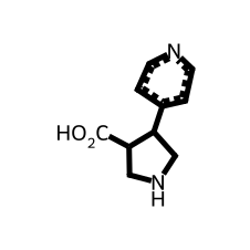 O=C(O)C1CNCC1c1ccncc1